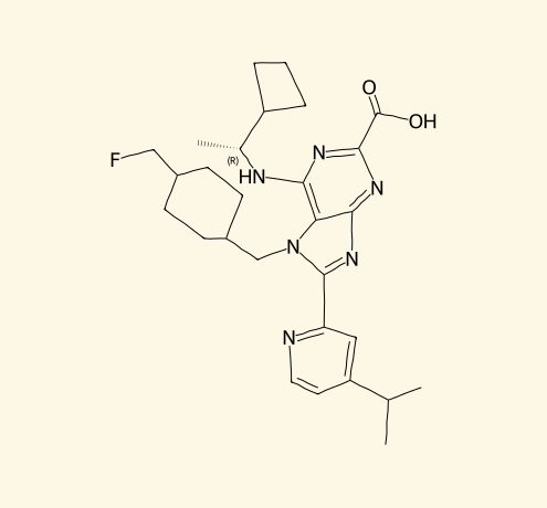 CC(C)c1ccnc(-c2nc3nc(C(=O)O)nc(N[C@H](C)C4CCC4)c3n2CC2CCC(CF)CC2)c1